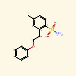 Cc1ccc(S(N)(=O)=O)c(CCOc2ccccc2)c1